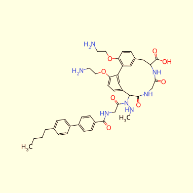 CCCCc1ccc(-c2ccc(C(=O)NCC(=O)N(NC)C3C(=O)NCC(=O)NC(C(=O)O)Cc4ccc(OCCN)c(c4)-c4cc3ccc4OCCN)cc2)cc1